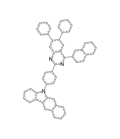 c1ccc(-c2cc3nc(-c4ccc(-n5c6ccccc6c6cc7ccccc7cc65)cc4)nc(-c4ccc5ccccc5c4)c3cc2-c2ccccc2)cc1